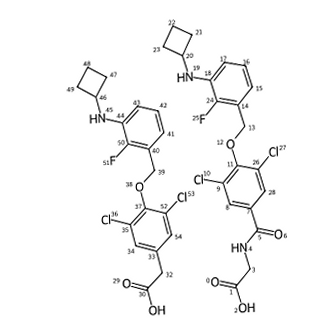 O=C(O)CNC(=O)c1cc(Cl)c(OCc2cccc(NC3CCC3)c2F)c(Cl)c1.O=C(O)Cc1cc(Cl)c(OCc2cccc(NC3CCC3)c2F)c(Cl)c1